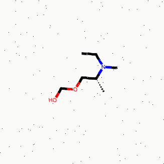 CCN(C)[C@H](C)COCO